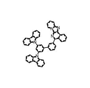 c1cc(-c2cc(-n3c4ccccc4c4ccccc43)cc(-n3c4ccccc4c4ccccc43)c2)cc(-c2nc3c(nc4ccccn43)c3ccccc23)c1